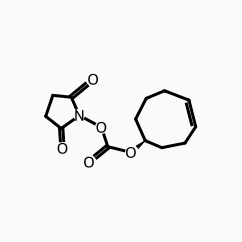 O=C(O[C@@H]1CC/C=C\CCC1)ON1C(=O)CCC1=O